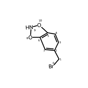 BrCc1ccc2c(c1)ONO2